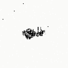 CC#CCn1c(N2CCC[C@@H](NC(=O)OC(C)(C)C)C2)nc2c1c(=O)n(CC(=O)c1ccccc1-c1ccncc1)c(=O)n2C